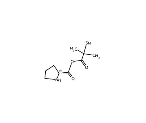 CC(C)(S)C(=O)OC(=O)[C@@H]1CCCN1